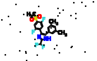 Cc1cc(C)cc(-c2[nH]c(C(F)F)nc2-c2cc(F)c(S(C)(=O)=O)cc2F)c1